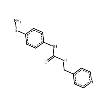 NSc1ccc(NC(=O)NCc2ccncc2)cc1